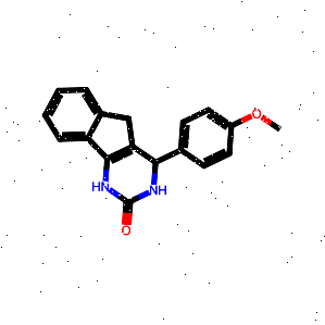 COc1ccc(C2NC(=O)NC3=C2Cc2ccccc23)cc1